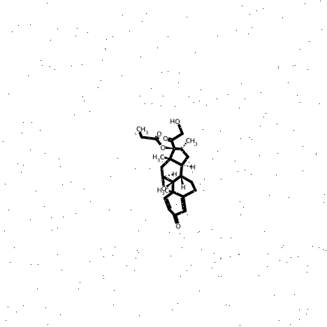 CCC(=O)O[C@@]1(C(=O)CO)[C@H](C)C[C@H]2[C@@H]3CCC4=CC(=O)C=C[C@]4(C)[C@@]34O[C@H]4C[C@@]21C